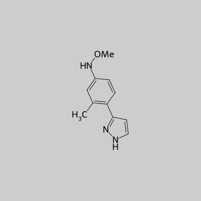 CONc1ccc(-c2cc[nH]n2)c(C)c1